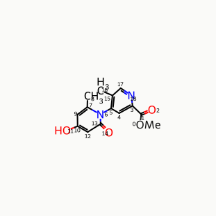 COC(=O)c1cc(-n2c(C)cc(O)cc2=O)c(C)cn1